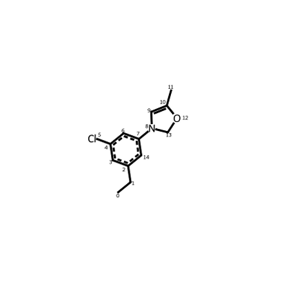 CCc1cc(Cl)cc(N2C=C(C)OC2)c1